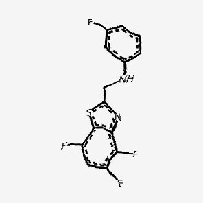 Fc1cccc(NCc2nc3c(F)c(F)cc(F)c3s2)c1